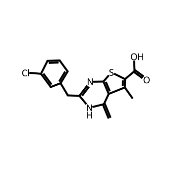 C=C1NC(Cc2cccc(Cl)c2)=Nc2sc(C(=O)O)c(C)c21